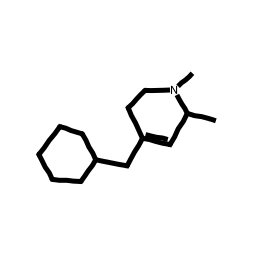 CC1C=C(CC2CCCCC2)CCN1C